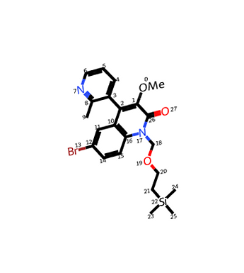 COc1c(-c2cccnc2C)c2cc(Br)ccc2n(COCC[Si](C)(C)C)c1=O